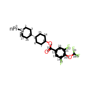 CCC[SiH]1CCC([C@H]2CC[C@H](OC(=O)c3cc(F)c(OC(F)F)c(F)c3)CC2)CC1